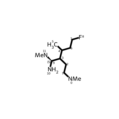 CNCCC(C(C)CCF)[C@@H](N)NC